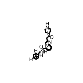 CC1(C)[C@@H]2CC[C@@H](CNC(=O)c3cccc4nc(CC(=O)N5CCNCC5)cn34)[C@H]1C2